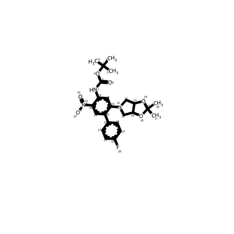 CC(C)(C)OC(=O)Nc1cc(N2CC3OC(C)(C)OC3C2)c(-c2ccc(F)cc2)cc1[N+](=O)[O-]